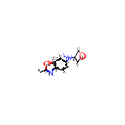 Cc1nc2ccc(NC3COC3)cc2o1